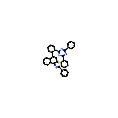 c1ccc(-c2nc(-c3ccccc3)nc(-c3ccccc3-c3cc4sc(-c5ccccc5)nc4c4ccccc34)n2)cc1